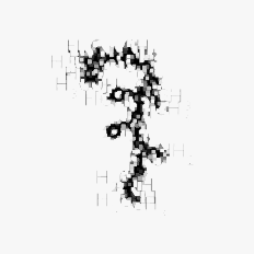 C=C(NC(=O)c1csc(C(=C)NC(=O)c2csc(-c3csc(C(NC(=O)C(Cc4ccc(O)cc4)NC(=O)c4csc(C(Cc5ccccc5)NC(=O)c5csc(C(CC(N)=O)NC(=O)c6csc(C(=C)NC(=O)C(C)NC)n6)n5)n4)C(C)CC)n3)n2)n1)C(=O)NC(=C)C(=O)NC(C)C(=O)O